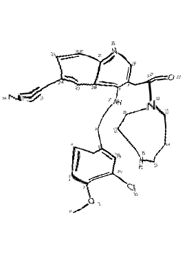 COc1ccc(CNc2c(C(=O)N3CCCNCC3)cnc3ccc(C#N)cc23)cc1Cl